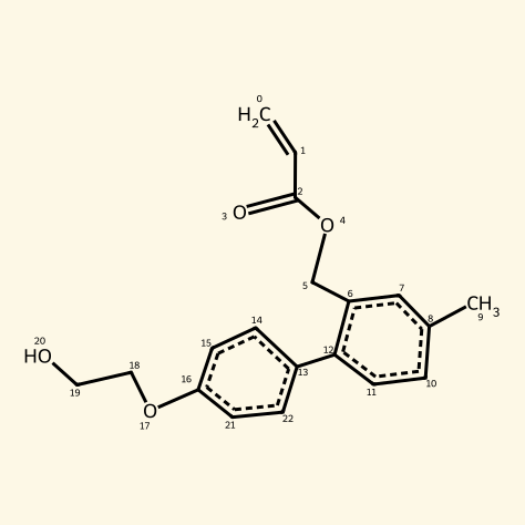 C=CC(=O)OCc1cc(C)ccc1-c1ccc(OCCO)cc1